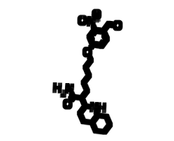 NC(=O)C(CCCCCOc1ccc(C=O)c([N+](=O)[O-])c1)C1CCC2CCCCC2N1